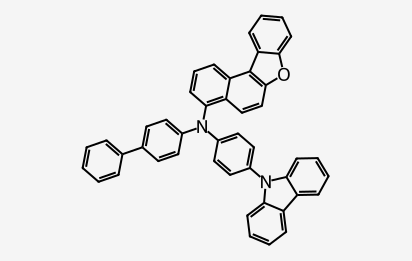 c1ccc(-c2ccc(N(c3ccc(-n4c5ccccc5c5ccccc54)cc3)c3cccc4c3ccc3oc5ccccc5c34)cc2)cc1